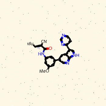 COc1cc(NC(=O)/C(C#N)=C/C(C)(C)C)cc(-c2cnc3[nH]cc(-c4ccncn4)c3c2)c1